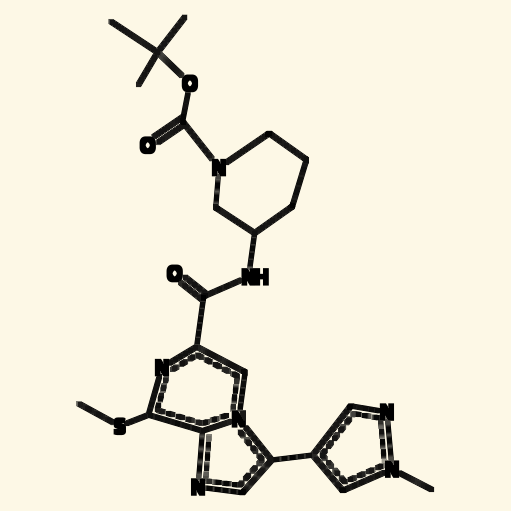 CSc1nc(C(=O)NC2CCCN(C(=O)OC(C)(C)C)C2)cn2c(-c3cnn(C)c3)cnc12